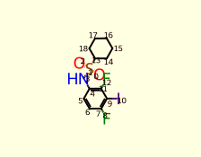 O=S(=O)(Nc1ccc(F)c(I)c1F)C1CCCCC1